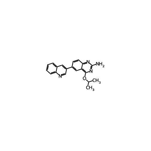 CC(C)Oc1nc(N)nc2ccc(-c3cnc4ccccc4c3)cc12